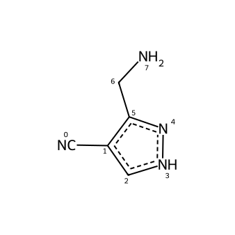 N#Cc1c[nH]nc1CN